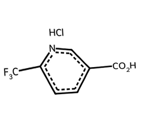 Cl.O=C(O)c1ccc(C(F)(F)F)nc1